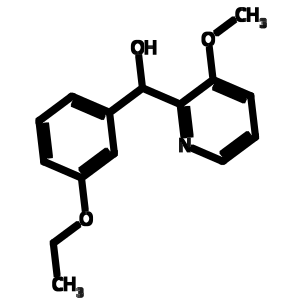 CCOc1cccc(C(O)c2ncccc2OC)c1